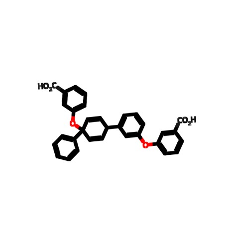 O=C(O)c1cccc(Oc2cccc(C3C=CC(Oc4cccc(C(=O)O)c4)(c4ccccc4)C=C3)c2)c1